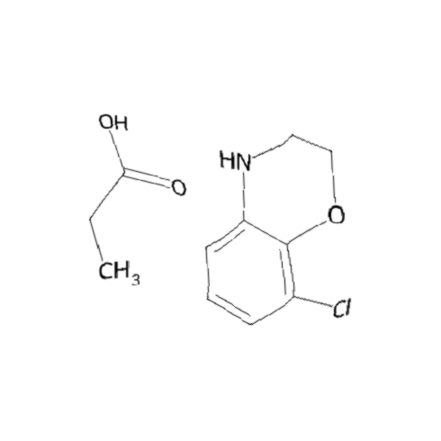 CCC(=O)O.Clc1cccc2c1OCCN2